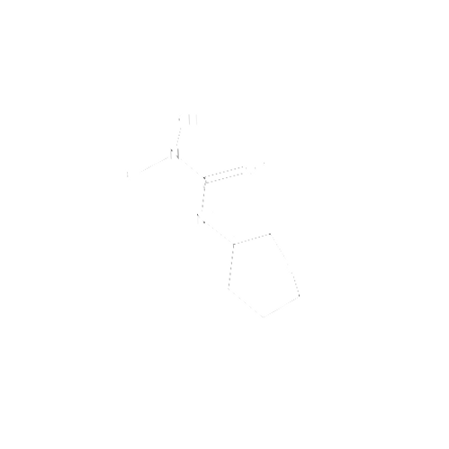 CN(Cl)C(=O)NC1CCCCC1